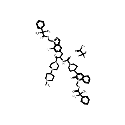 Cc1cc(CC(NC(=O)N2CCC(c3cc4ccccc4n(COC(=O)C(C)(C)c4ccccc4)c3=O)CC2)C(=O)N2CCN(C3CCN(C)CC3)CC2)cc2cnn(COC(=O)C(C)(C)c3ccccc3)c12.O=C(O)C(F)(F)F